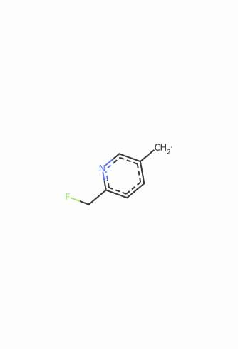 [CH2]c1ccc(CF)nc1